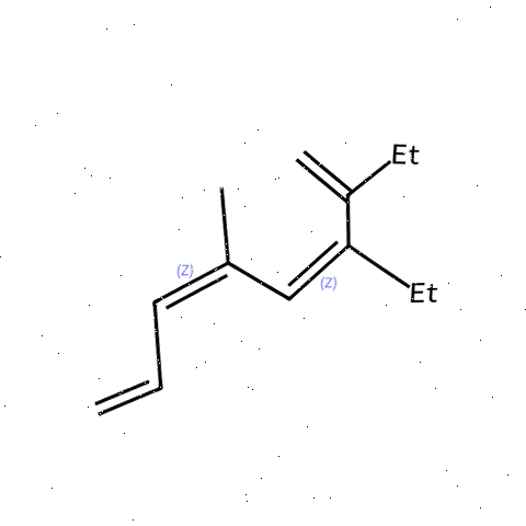 C=C/C=C(C)\C=C(\CC)C(=C)CC